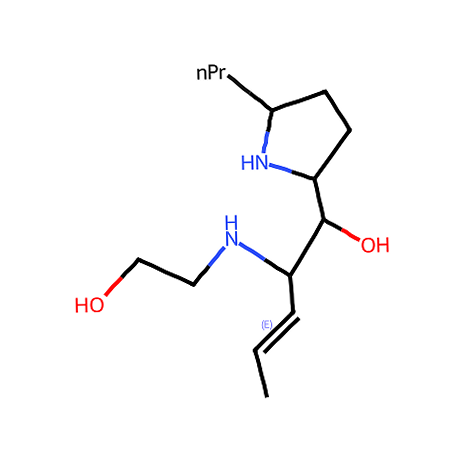 C/C=C/C(NCCO)C(O)C1CCC(CCC)N1